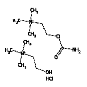 C[N+](C)(C)CCO.C[N+](C)(C)CCOC(N)=O.Cl